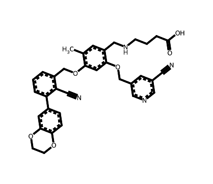 Cc1cc(CNCCCC(=O)O)c(OCc2cncc(C#N)c2)cc1OCc1cccc(-c2ccc3c(c2)OCCO3)c1C#N